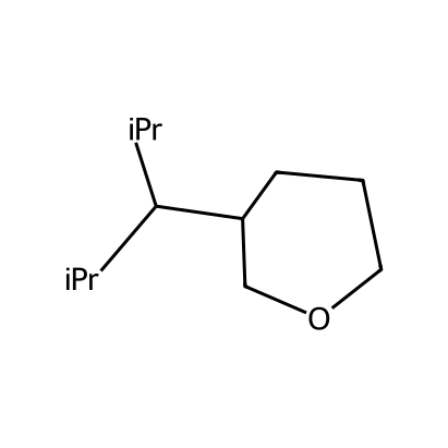 CC(C)C(C(C)C)C1CCCOC1